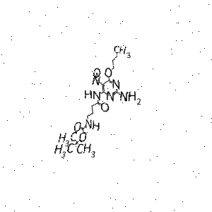 CCCCOc1nc(N)nc(NC(=O)CCCNC(=O)OC(C)(C)C)c1N=O